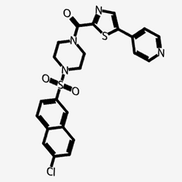 O=C(c1ncc(-c2ccncc2)s1)N1CCN(S(=O)(=O)c2ccc3cc(Cl)ccc3c2)CC1